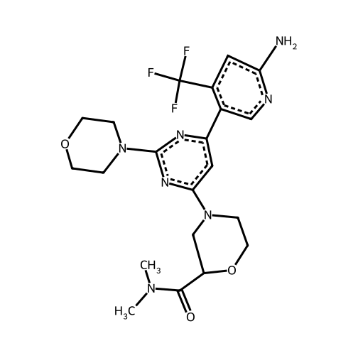 CN(C)C(=O)C1CN(c2cc(-c3cnc(N)cc3C(F)(F)F)nc(N3CCOCC3)n2)CCO1